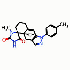 Cc1ccc(-n2ncc3c2C=C2CCC[C@]4(C(=O)NC(=O)N4C)[C@@]2(C)C3)cc1